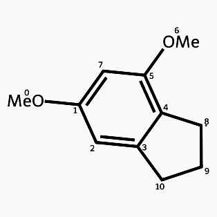 COc1cc2c(c(OC)c1)[CH]CC2